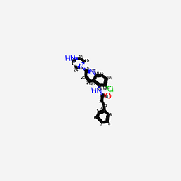 O=C(CCc1ccccc1)Nc1c(Cl)ccc2nc(N3CCNCC3)ccc12